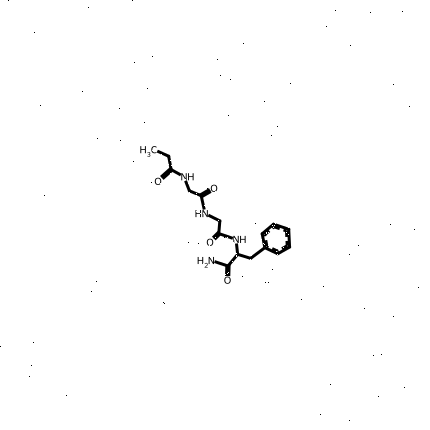 CCC(=O)NCC(=O)NCC(=O)NC(Cc1ccccc1)C(N)=O